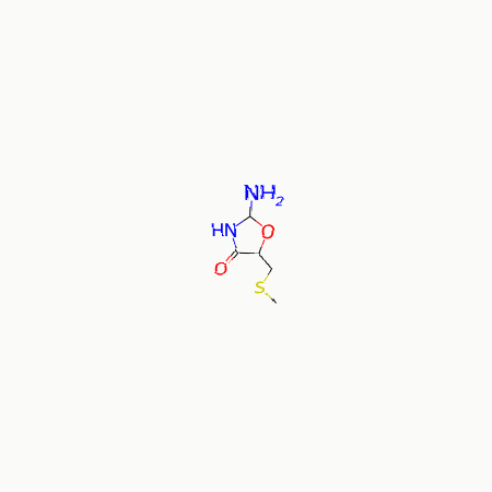 CSCC1OC(N)NC1=O